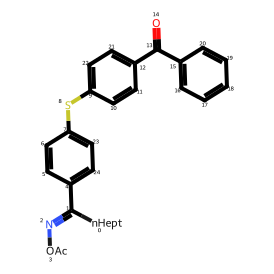 CCCCCCC/C(=N\OC(C)=O)c1ccc(Sc2ccc(C(=O)c3ccccc3)cc2)cc1